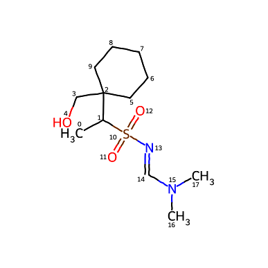 CC(C1(CO)CCCCC1)S(=O)(=O)N=CN(C)C